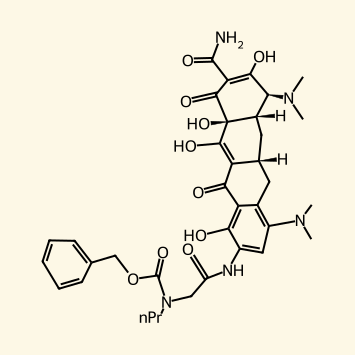 CCCN(CC(=O)Nc1cc(N(C)C)c2c(c1O)C(=O)C1=C(O)[C@]3(O)C(=O)C(C(N)=O)=C(O)[C@@H](N(C)C)[C@@H]3C[C@@H]1C2)C(=O)OCc1ccccc1